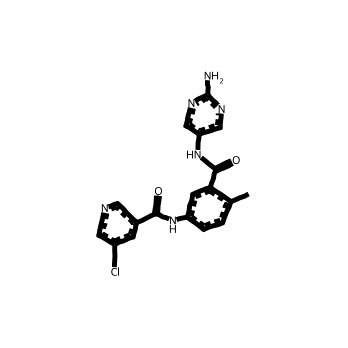 Cc1ccc(NC(=O)c2cncc(Cl)c2)cc1C(=O)Nc1cnc(N)nc1